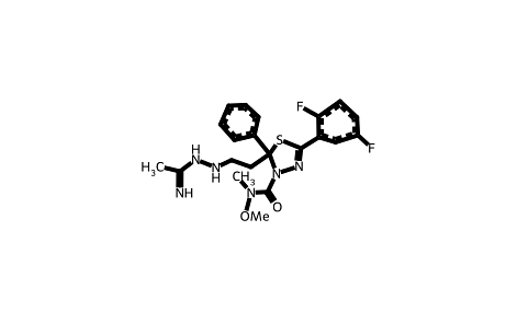 CON(C)C(=O)N1N=C(c2cc(F)ccc2F)SC1(CCNNC(C)=N)c1ccccc1